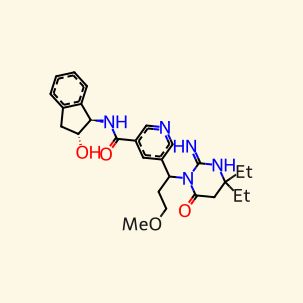 CCC1(CC)CC(=O)N(C(CCOC)c2cncc(C(=O)N[C@@H]3c4ccccc4C[C@H]3O)c2)C(=N)N1